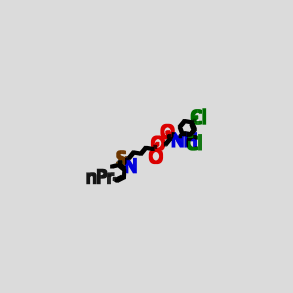 CCC/C=C\c1nc(CCCC(=O)OCC(=O)NC2=C(Cl)C=C(Cl)CC2)sc1C